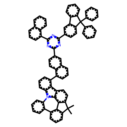 CC1(C)c2cccc3c2-c2c1ccc1c4c(-c5cccc6cc(-c7nc(-c8ccc9c(c8)-c8ccccc8C9(c8ccccc8)c8ccccc8)nc(-c8cccc9ccccc89)n7)ccc56)cccc4n(c21)-c1ccccc1-3